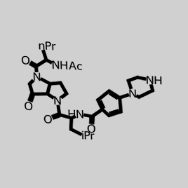 CCCC(NC(C)=O)C(=O)N1CC(=O)C2C1CCN2C(=O)C(CC(C)C)NC(=O)c1ccc(N2CCNCC2)cc1